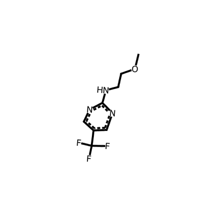 COCCNc1ncc(C(F)(F)F)cn1